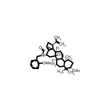 C=C(C)[C@@H]1CC[C@]2(C(=O)NCc3ccccc3OC)CC[C@]3(C)[C@H](CCC4[C@@]5(C)CC[C@H](OC(C)=O)C(C)(C)C5CC[C@]43C)[C@@H]12